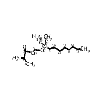 C=C(C)C(=O)OCO[Si](CCCCCCCC)(OC)OC